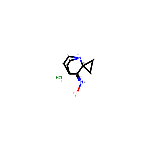 Cl.O/N=C1\C2CCN(CC2)C12CC2